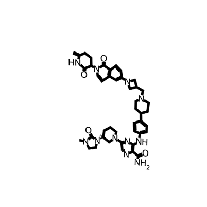 C=C1CCC(n2ccc3cc(N4CC(CN5CCC(c6ccc(Nc7nc(N8CCC[C@@H](N9CCN(C)C9=O)C8)cnc7C(N)=O)cc6)CC5)C4)ccc3c2=O)C(=O)N1